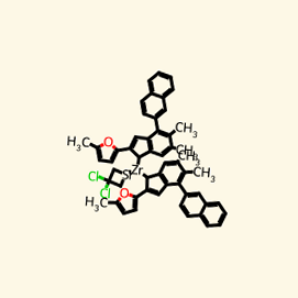 Cc1ccc(C2=Cc3c(cc(C)c(C)c3-c3ccc4ccccc4c3)[CH]2[Zr]([CH]2C(c3ccc(C)o3)=Cc3c2cc(C)c(C)c3-c2ccc3ccccc3c2)=[Si]2CC(Cl)(Cl)C2)o1